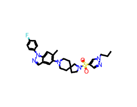 CCCn1cc(S(=O)(=O)N2CCC3(CCN(c4cc5cnn(-c6ccc(F)cc6)c5cc4C)CC3)C2)cn1